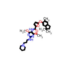 COc1nc(NCCCN2CCCCC2)nc(OC)c1NC(=O)c1ccc(Oc2cc3c(cc2C)CCC3(C)C)o1